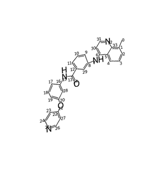 Cc1cccc2c(Nc3cccc(C(=O)Nc4cccc(Oc5ccncc5)c4)c3)ccnc12